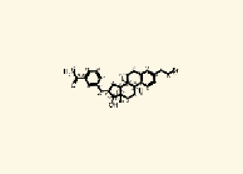 C[C@]12CC[C@@H]3c4ccc(CCBr)cc4CC[C@H]3[C@@H]1C[C@H](Cc1cccc(C(N)=O)c1)[C@@H]2O